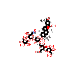 CC1(C)C2CC[C@]3(C)C(CCC45OCC6(CC[C@](C)(C=O)CC64)[C@H](O)C[C@]53C)[C@@]2(C)CC[C@@H]1OC1OCC(OC2OC(CN=O)C(O)C(O)C2OC2OCC(O)C(O)C2O)C(O)C1OCC1OC(CO)C(OC2OC(CO)C(O)C(O)C2O)C(O)C1O